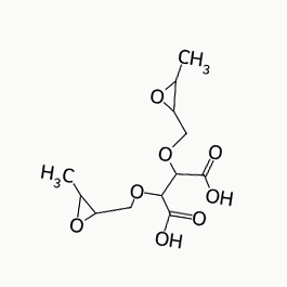 CC1OC1COC(C(=O)O)C(OCC1OC1C)C(=O)O